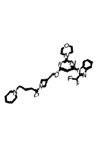 O=C(CCCN1CCCCC1)N1CC(COc2cc(-n3c(C(F)F)nc4ccccc43)nc(N3CCOCC3)n2)C1